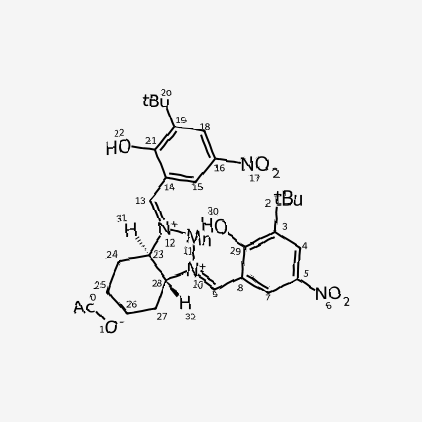 CC(=O)[O-].CC(C)(C)c1cc([N+](=O)[O-])cc(C=[N+]2[Mn][N+](=Cc3cc([N+](=O)[O-])cc(C(C)(C)C)c3O)[C@@H]3CCCC[C@H]32)c1O